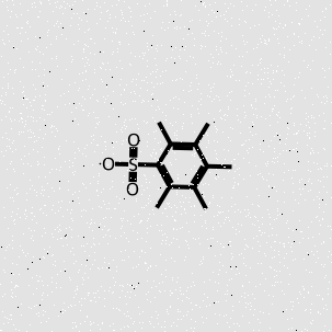 Cc1c(C)c(C)c(S([O])(=O)=O)c(C)c1C